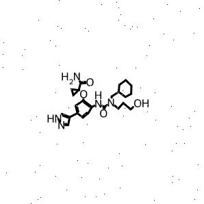 NC(=O)C1(Oc2cc(-c3cn[nH]c3)ccc2NC(=O)N(CCCO)CC2CCCCC2)CC1